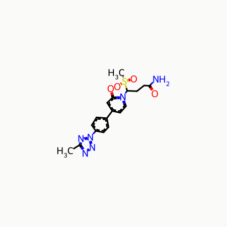 Cc1nnn(-c2ccc(-c3ccn(C(CCC(N)=O)S(C)(=O)=O)c(=O)c3)cc2)n1